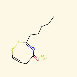 CCCCC/C1=N/C(=O)C/C=C\SS1.S